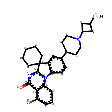 O=C(O)C1CC(N2CCC(c3ccc4c(c3)C3(CCCCC3)c3nc(=O)c5c(Cl)cccc5n3-4)CC2)C1